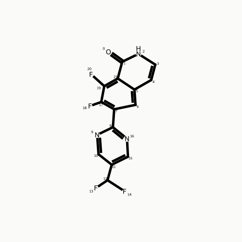 O=c1[nH]ccc2cc(-c3ncc(C(F)F)cn3)c(F)c(F)c12